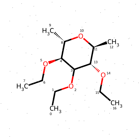 CCOC1[C@@H](OCC)[C@H](C)O[C@@H](C)[C@@H]1OCC